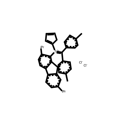 Cc1ccc([C](c2ccc(C)cc2)=[Ti+2]([C]2=CC=CC2)[c]2c(C(C)C)ccc3c2Cc2cc(C(C)C)ccc2-3)cc1.[Cl-].[Cl-]